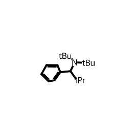 CC(C)C(c1ccccc1)N(C(C)(C)C)C(C)(C)C